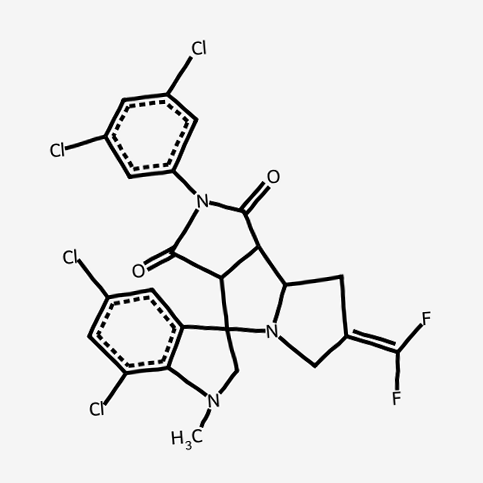 CN1CC2(c3cc(Cl)cc(Cl)c31)C1C(=O)N(c3cc(Cl)cc(Cl)c3)C(=O)C1C1CC(=C(F)F)CN12